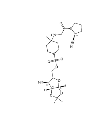 CC1(NCC(=O)N2CCC[C@H]2C#N)CCN(S(=O)(=O)OCC2O[C@@H]3OC(C)(C)O[C@@H]3[C@H]2O)CC1